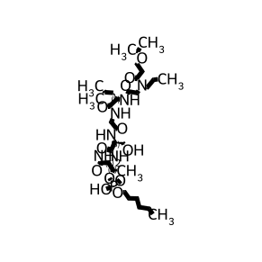 CCCCCCOP(=O)(O)O[C@H](C)[C@H](NC(=O)[C@H](CO)NC(=O)CNC(=O)[C@H](CC(C)C)NC(=O)CN(CCC)C(=O)CCOC(C)C)C(N)=O